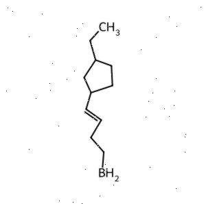 BCC/C=C/C1CCC(CC)C1